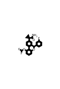 NC(=O)C1(c2ccc3c(c2)C(c2cccc(F)c2)Oc2cccc(OC(F)F)c2-3)CC1